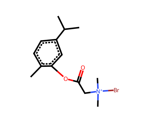 Cc1ccc(C(C)C)cc1OC(=O)C[N+](C)(C)Br